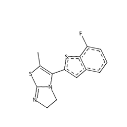 CC1=C(c2cc3cccc(F)c3s2)N2CCN=C2S1